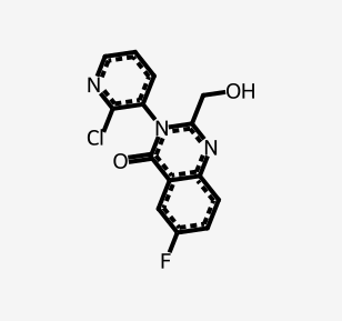 O=c1c2cc(F)ccc2nc(CO)n1-c1cccnc1Cl